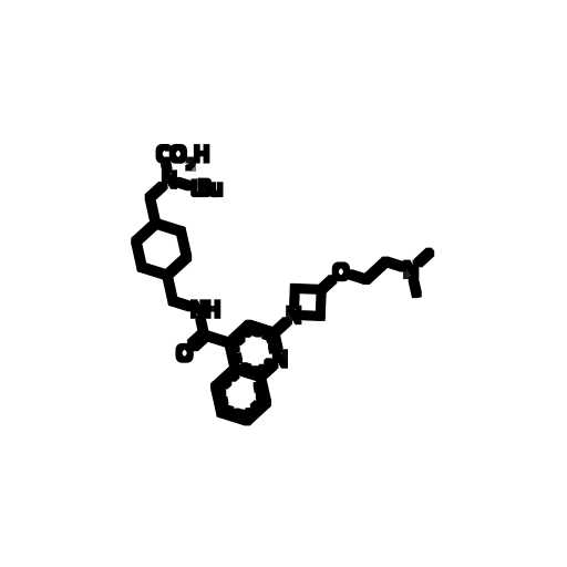 CN(C)CCOC1CN(c2cc(C(=O)NCC3CCC(CN(C(=O)O)C(C)(C)C)CC3)c3ccccc3n2)C1